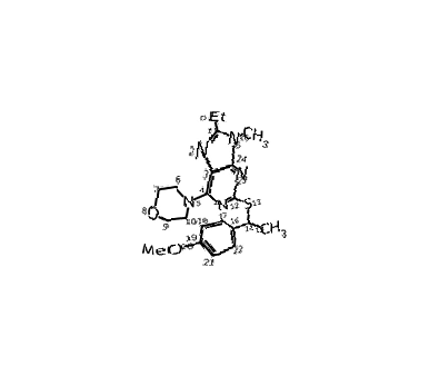 CCc1nc2c(N3CCOCC3)nc(SC(C)c3ccc(OC)cc3)nc2n1C